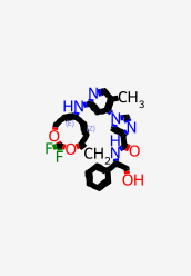 C=C1/C=C\C(Nc2cc(-n3cnc(C(=O)NC(CO)c4ccccc4)c3)c(C)cn2)=C/COC(F)(F)O1